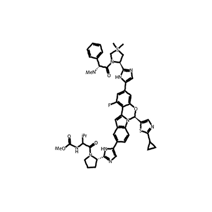 CN[C@@H](C(=O)N1CS(C)(C)C[C@H]1c1ncc(-c2cc(F)c3c(c2)O[C@@H](c2cnc(C4CC4)s2)n2c-3cc3cc(-c4cnc([C@@H]5CCCN5C(=O)C(NC(=O)OC)C(C)C)[nH]4)ccc32)[nH]1)c1ccccc1